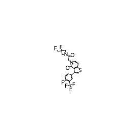 O=C(Cn1ccc2scc(-c3ccc(F)c(C(F)(F)F)c3)c2c1=O)N1CC(F)(CF)C1